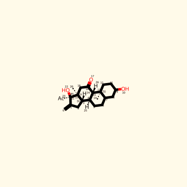 C=C1C[C@H]2[C@@H]3CCC4CC(O)CC[C@]4(C)[C@H]3C(=O)C[C@]2(C)[C@@]1(O)C(C)=O